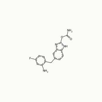 NC(=O)Oc1nc2cc(Cc3ccc(F)cc3N)ccc2[nH]1